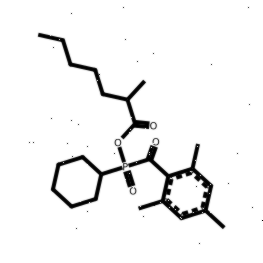 CCCCCC(C)C(=O)OP(=O)(C(=O)c1c(C)cc(C)cc1C)C1CCCCC1